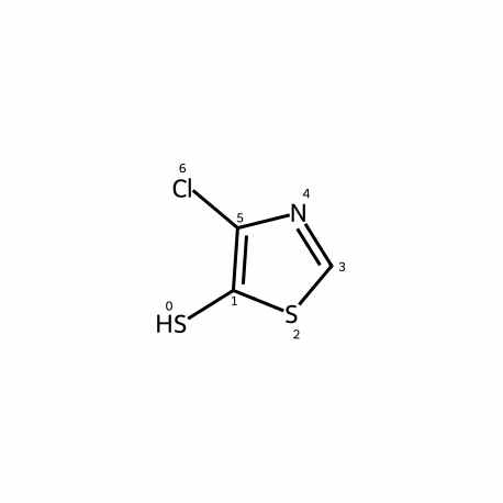 Sc1scnc1Cl